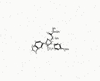 CCC[C@@H](C(=O)N(CCC)CCC)N1C[C@H](c2ccc3c(c2)OCO3)[C@H](C(=O)O)[C@H]1c1ccc(OC)cc1